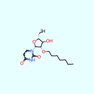 [2H]C[C@H]1O[C@@H](n2ccc(=O)[nH]c2=O)[C@@H](OCCCCCCC)C1O